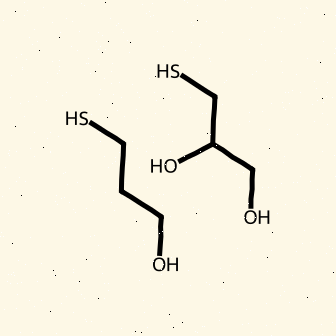 OCC(O)CS.OCCCS